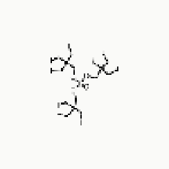 O=P(OCC(CI)(CI)CI)(OCC(CI)(CI)CI)OCC(CI)(CI)CI